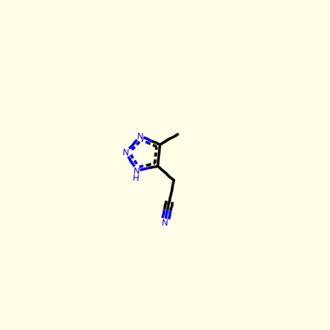 Cc1nn[nH]c1CC#N